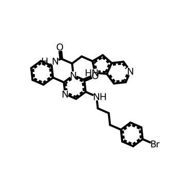 NC(=O)C(Cc1cc2cnccc2[nH]1)n1c(-c2ccccc2)ncc(NCCCc2ccc(Br)cc2)c1=O